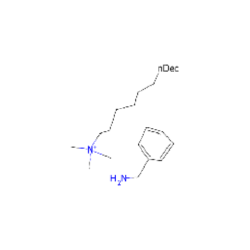 CCCCCCCCCCCCCCCC[N+](C)(C)C.NCc1ccccc1